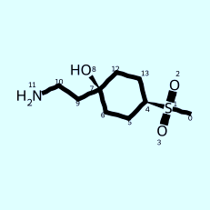 CS(=O)(=O)[C@H]1CC[C@](O)(CCN)CC1